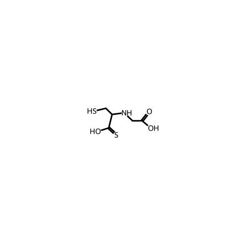 O=C(O)CNC(CS)C(O)=S